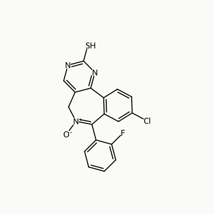 [O-][N+]1=C(c2ccccc2F)c2cc(Cl)ccc2-c2nc(S)ncc2C1